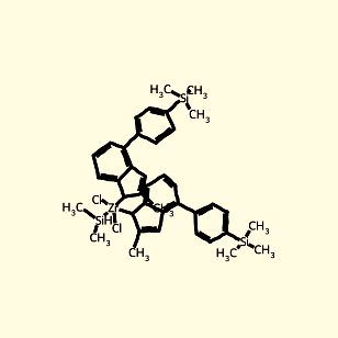 CC1=Cc2c(-c3ccc([Si](C)(C)C)cc3)cccc2[CH]1[Zr]([Cl])([Cl])([CH]1C(C)=Cc2c(-c3ccc([Si](C)(C)C)cc3)cccc21)[SiH](C)C